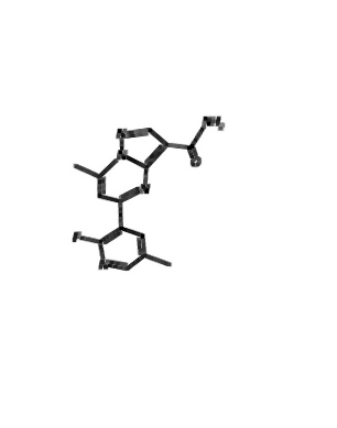 Cc1cnc(F)c(-c2cc(C)n3ncc(C(N)=O)c3n2)c1